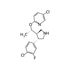 C[C@H](Oc1ccc(Cl)cn1)[C@H]1CNC[C@@H]1c1ccc(Cl)c(F)c1